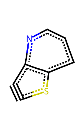 c1sc2cccnc2c#1